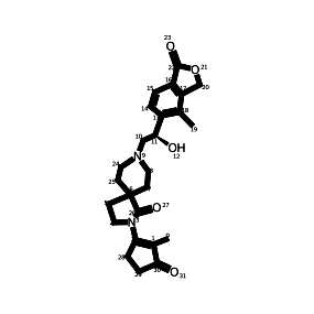 CC1=C(N2CCC3(CCN(C[C@H](O)c4ccc5c(c4C)COC5=O)CC3)C2=O)CCC1=O